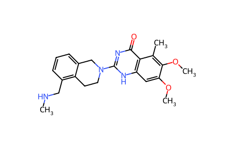 CNCc1cccc2c1CCN(c1nc(=O)c3c(C)c(OC)c(OC)cc3[nH]1)C2